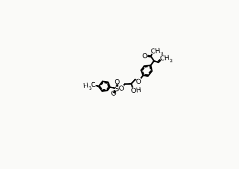 C=CC(C(C)=O)c1ccc(OCC(O)COS(=O)(=O)c2ccc(C)cc2)cc1